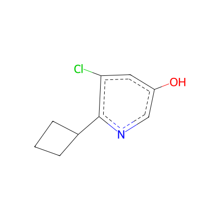 Oc1cnc(C2CCC2)c(Cl)c1